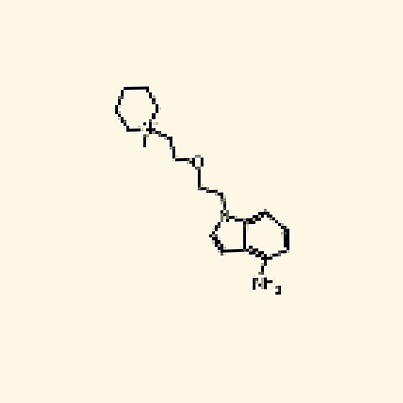 C[N+]1(CCOCCn2ccc3c(N)cccc32)CCCCC1